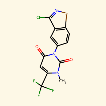 Cn1c(C(F)(F)F)cc(=O)n(-c2ccc3snc(Cl)c3c2)c1=O